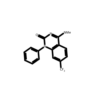 CNc1nc(=O)n(-c2ccccc2)c2cc(C(F)(F)F)ccc12